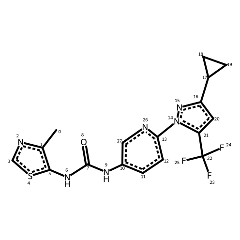 Cc1ncsc1NC(=O)Nc1ccc(-n2nc(C3CC3)cc2C(F)(F)F)nc1